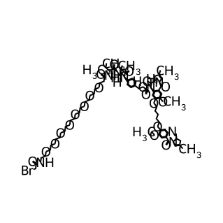 COc1cc2c(cc1OCCCCCOc1cc3c(cc1OC)C(=O)N1C=C(C)C[C@@H]1C(O)N3C(=O)OCc1ccc(NC(=O)C(C)NC(=O)[C@@H](NC(=O)CCOCCOCCOCCOCCOCCOCCOCCOCCNC(=O)CBr)C(C)C)cc1)N=CC1CC(C)=CN1C2=O